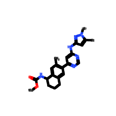 CCCn1nc(Nc2cc(-c3cc4c(cc3C)C(NC(=O)OC(C)(C)C)CCC4)ncn2)cc1CC